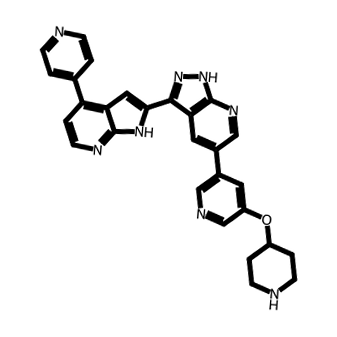 c1cc(-c2ccnc3[nH]c(-c4n[nH]c5ncc(-c6cncc(OC7CCNCC7)c6)cc45)cc23)ccn1